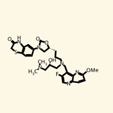 COc1ccc2ncc(F)c(CN(CCC[C@@H]3CN(c4ccc5c(c4)NC(=O)CS5)C(=O)O3)C[C@@H](O)CN(C)C)c2n1